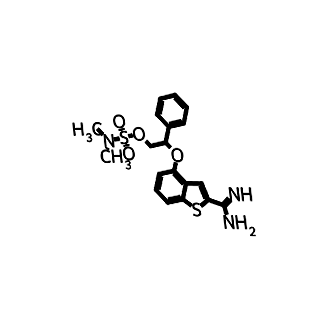 CN(C)S(=O)(=O)OCC(Oc1cccc2sc(C(=N)N)cc12)c1ccccc1